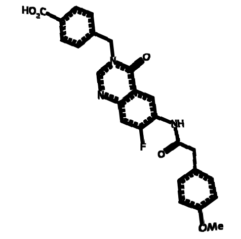 COc1ccc(CC(=O)Nc2cc3c(=O)n(Cc4ccc(C(=O)O)cc4)cnc3cc2F)cc1